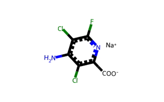 Nc1c(Cl)c(F)nc(C(=O)[O-])c1Cl.[Na+]